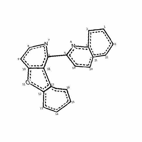 c1ccc2nc(-c3nccc4oc5ccccc5c34)ccc2c1